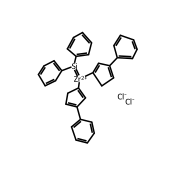 C1=C(c2ccccc2)C=[C]([Zr+2]([C]2=CC(c3ccccc3)=CC2)=[Si](c2ccccc2)c2ccccc2)C1.[Cl-].[Cl-]